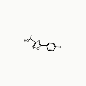 CC(O)c1noc(-c2ccc(F)cc2)n1